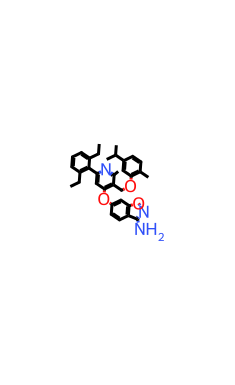 CCc1cccc(CC)c1-c1cc(Oc2ccc3c(N)noc3c2)c(COc2cc(C(C)C)ccc2C)c(C)n1